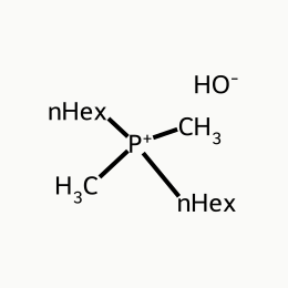 CCCCCC[P+](C)(C)CCCCCC.[OH-]